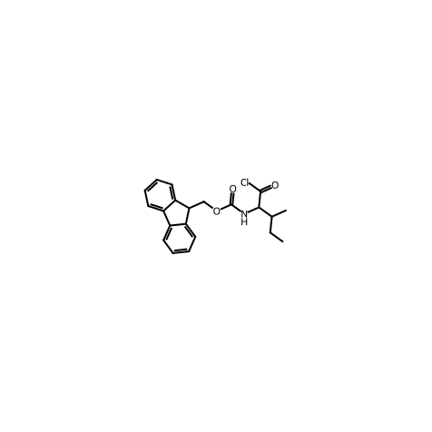 CCC(C)C(NC(=O)OCC1c2ccccc2-c2ccccc21)C(=O)Cl